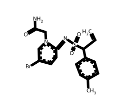 C=CC(c1ccc(C)cc1)S(=O)(=O)N=c1ccc(Br)cn1CC(N)=O